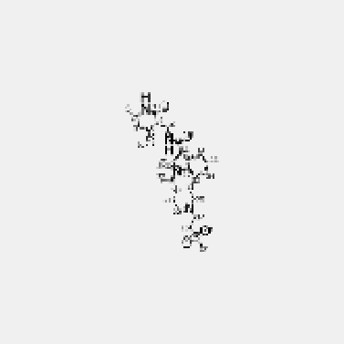 COc1cc(C)[nH]c(=O)c1CNC(=O)c1c(C)n([C@H](C)C2CCN(CCS(C)(=O)=O)CC2)c2ccccc12